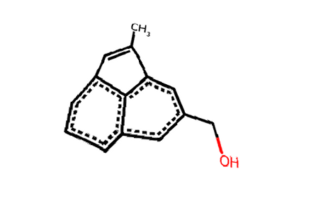 CC1=Cc2cccc3cc(CO)cc1c23